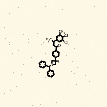 O=C(/C=C(\c1cc(Cl)c(Cl)c(C(F)(F)F)c1)C(F)(F)F)c1ccc(C2(F)CN(C(c3ccccc3)c3ccccc3)C2)cc1